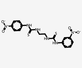 O=[N+]([O-])c1ccc(NC(=S)NCCNC(=S)Nc2cccc([N+](=O)[O-])c2)cc1